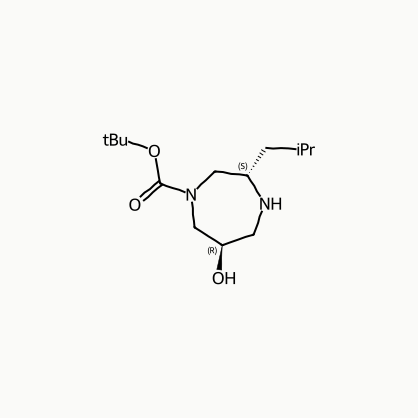 CC(C)C[C@H]1CN(C(=O)OC(C)(C)C)C[C@H](O)CN1